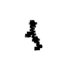 Cl.O=C(O)COc1ccc(CCN(O)CCCOc2ccccc2)cc1